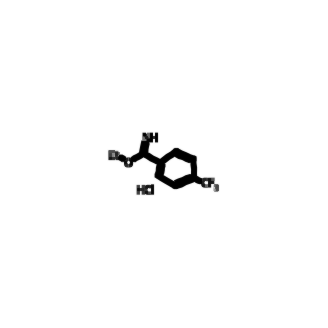 CCOC(=N)c1ccc(C(F)(F)F)cc1.Cl